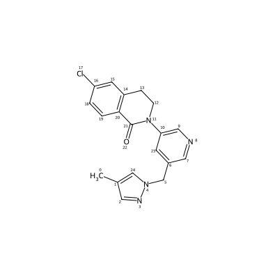 Cc1cnn(Cc2cncc(N3CCc4cc(Cl)ccc4C3=O)c2)c1